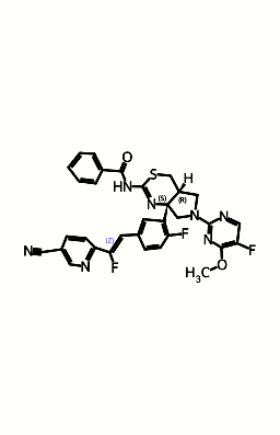 COc1nc(N2C[C@H]3CSC(NC(=O)c4ccccc4)=N[C@@]3(c3cc(/C=C(\F)c4ccc(C#N)cn4)ccc3F)C2)ncc1F